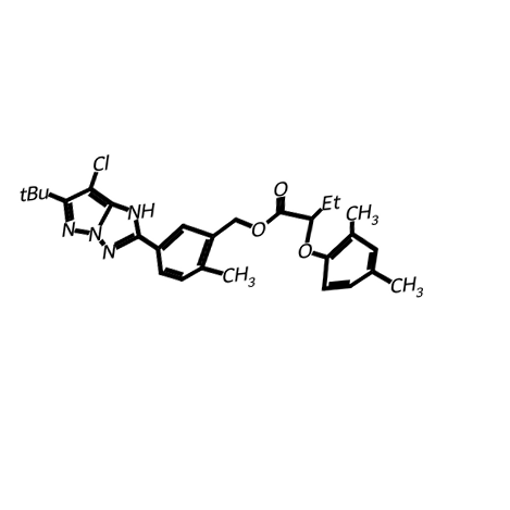 CCC(Oc1ccc(C)cc1C)C(=O)OCc1cc(-c2nn3nc(C(C)(C)C)c(Cl)c3[nH]2)ccc1C